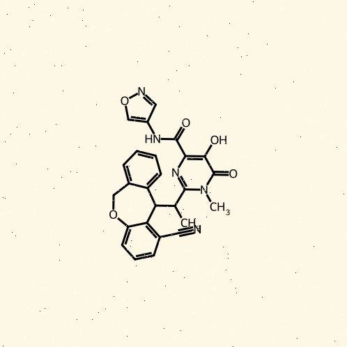 CC(c1nc(C(=O)Nc2cnoc2)c(O)c(=O)n1C)C1c2ccccc2COc2cccc(C#N)c21